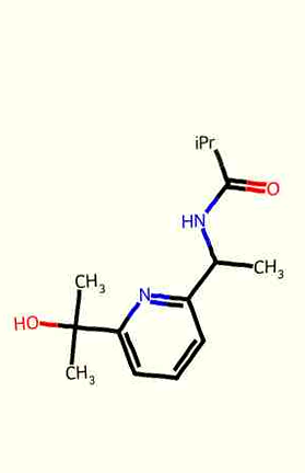 CC(C)C(=O)NC(C)c1cccc(C(C)(C)O)n1